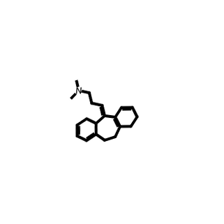 CN(C)CC/C=C1/C2=C(CCC=C2)CCC2=CC=CCC21